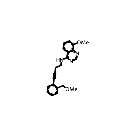 COCc1ccccc1C#CCCNc1ncnc2c(OC)cccc12